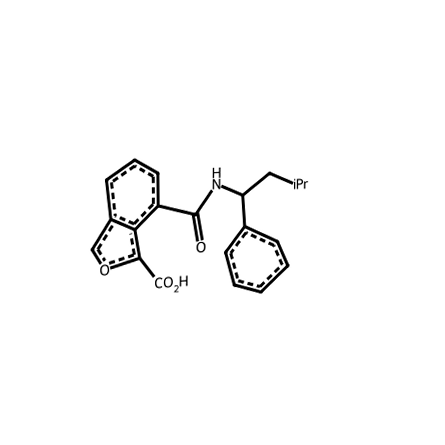 CC(C)CC(NC(=O)c1cccc2coc(C(=O)O)c12)c1ccccc1